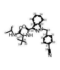 CC(C)NC(=O)[C@@H](NC(=O)c1nn(Cc2ccc(C#N)cc2)c2ccccc12)C(C)(C)C